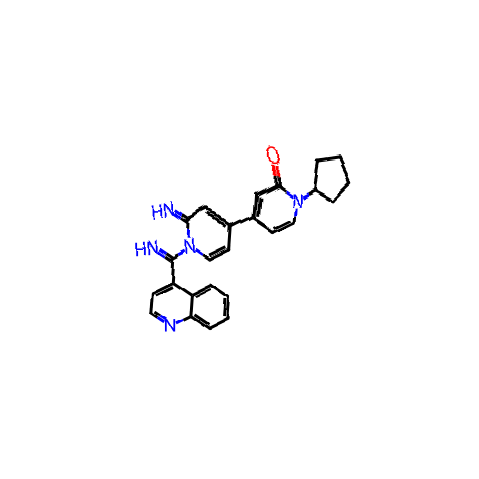 N=C(c1ccnc2ccccc12)n1ccc(-c2ccn(C3CCCC3)c(=O)c2)cc1=N